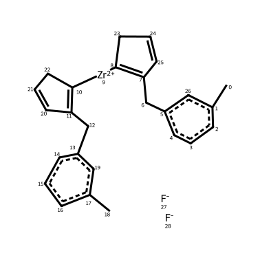 Cc1cccc(CC2=[C]([Zr+2][C]3=C(Cc4cccc(C)c4)C=CC3)CC=C2)c1.[F-].[F-]